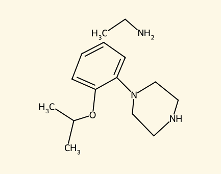 CC(C)Oc1ccccc1N1CCNCC1.CCN